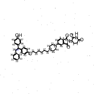 O=C1CCC(N2C(=O)c3ccc(N4CCN(CCCCCCOc5ccc(/C(=C\c6ccccc6)c6ccc(O)cc6)cc5)CC4)cc3C2=O)C(=O)N1